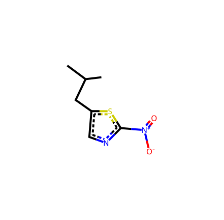 CC(C)Cc1cnc([N+](=O)[O-])s1